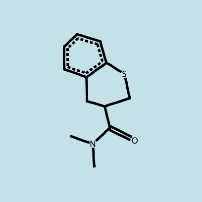 CN(C)C(=O)C1CSc2ccccc2C1